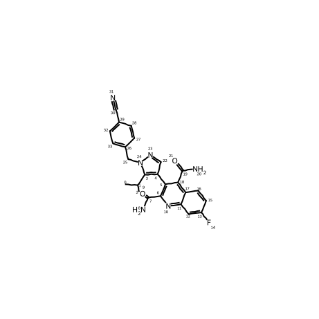 CC(C)c1c(-c2c(C(N)=O)nc3cc(F)ccc3c2C(N)=O)cnn1Cc1ccc(C#N)cc1